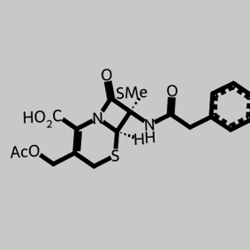 CS[C@@]1(NC(=O)Cc2ccccc2)C(=O)N2C(C(=O)O)=C(COC(C)=O)CS[C@@H]21